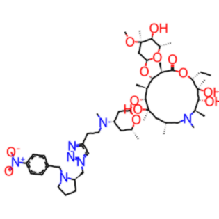 CC[C@H]1OC(=O)[C@H](C)[C@@H](O[C@H]2C[C@@](C)(OC)[C@@H](O)[C@H](C)O2)[C@H](C)[C@@H](O[C@H]2C[C@@H](N(C)CCc3cn(C[C@H]4CCCN4Cc4ccc([N+](=O)[O-])cc4)nn3)C[C@@H](C)O2)[C@](C)(O)C[C@@H](C)CN(C)[C@H](C)[C@@H](O)[C@]1(C)O